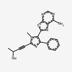 CC(O)C#Cc1nc(-c2ccccc2)c(-c2nc3c(N)ncnc3s2)n1C